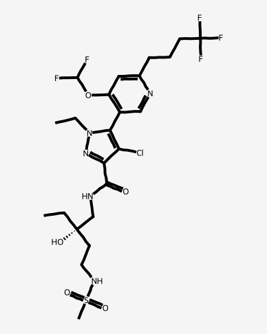 CCn1nc(C(=O)NC[C@](O)(CC)CCNS(C)(=O)=O)c(Cl)c1-c1cnc(CCCC(F)(F)F)cc1OC(F)F